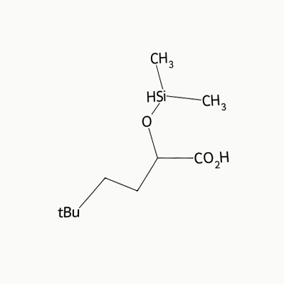 C[SiH](C)OC(CCC(C)(C)C)C(=O)O